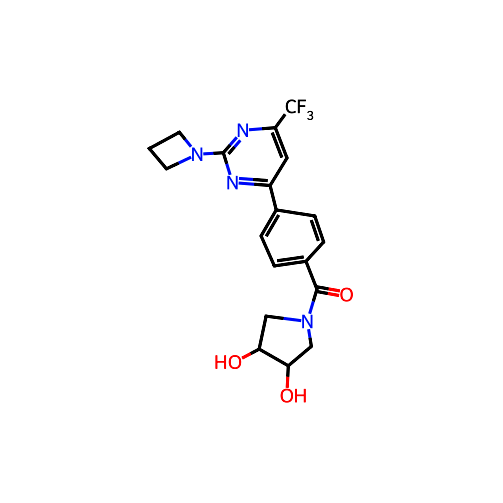 O=C(c1ccc(-c2cc(C(F)(F)F)nc(N3CCC3)n2)cc1)N1CC(O)C(O)C1